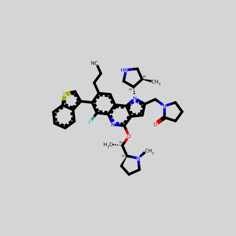 C[C@@H]1CNC[C@H]1n1c(CN2CCCC2=O)cc2c(O[C@@H](C)[C@@H]3CCCN3C)nc3c(F)c(-c4csc5ccccc45)c(CCC#N)cc3c21